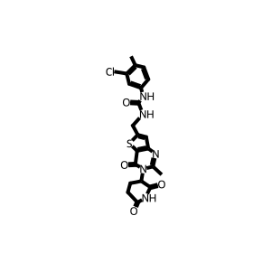 Cc1ccc(NC(=O)NCc2cc3nc(C)n(C4CCC(=O)NC4=O)c(=O)c3s2)cc1Cl